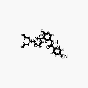 C=CCN(CC=C)C1=N[C@](C)(c2cc(NC(=O)c3ccc(C#N)cn3)ccc2F)C=CO1